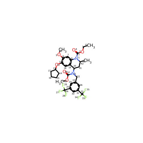 CCOC(=O)N1c2cc(OC)c(OC3CCCC3)cc2C(N(Cc2cc(C(F)(F)F)cc(C(F)(F)F)c2)C(=O)OC)CC1C